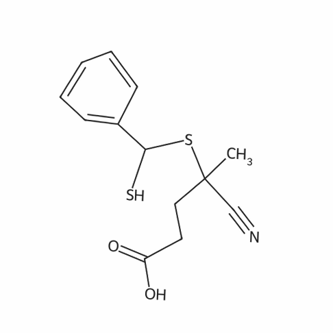 CC(C#N)(CCC(=O)O)SC(S)c1ccccc1